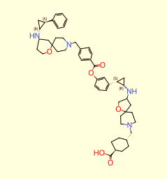 O=C(Oc1cccc([C@@H]2C[C@H]2NC2COC3(CCN(C[C@H]4CC[C@H](C(=O)O)CC4)CC3)C2)c1)c1ccc(CN2CCC3(CC2)CC(N[C@@H]2C[C@H]2c2ccccc2)CCO3)cc1